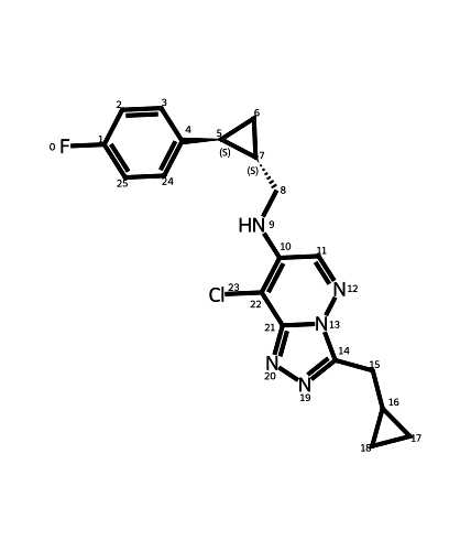 Fc1ccc([C@H]2C[C@@H]2CNc2cnn3c(CC4CC4)nnc3c2Cl)cc1